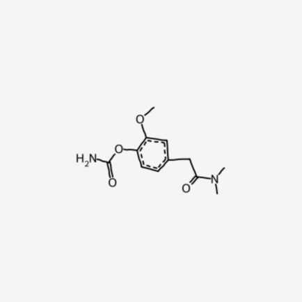 COc1cc(CC(=O)N(C)C)ccc1OC(N)=O